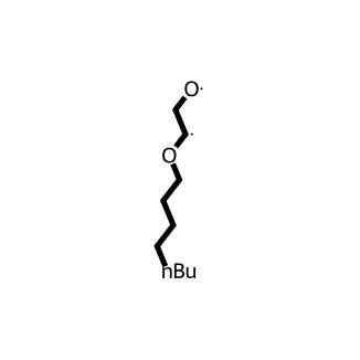 CCCCCCCCO[CH]C[O]